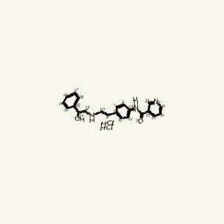 Cl.Cl.O=C(Nc1ccc(CCNCC(O)c2ccccc2)cc1)c1cccnc1